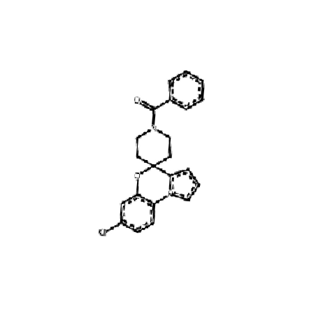 O=C(c1ccccc1)N1CCC2(CC1)Oc1cc(Cl)ccc1-n1cccc12